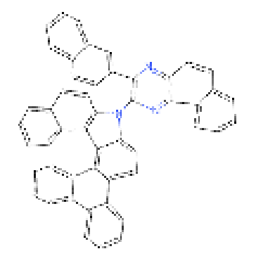 c1ccc2cc(-c3nc4ccc5ccccc5c4nc3-n3c4ccc5ccccc5c4c4c5c6ccccc6c6ccccc6c5ccc43)ccc2c1